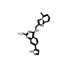 Cc1cccc2nc(CNc3nc(N)nc4cc(-c5ccn[nH]5)ccc34)cn12